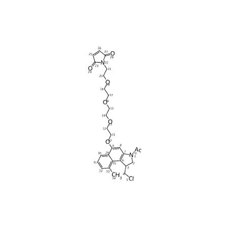 CC(=O)N1CC(CCl)c2c1cc(OCCOCCOCCOCCN1C(=O)C=CC1=O)c1cccc(C)c21